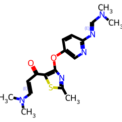 Cc1nc(Oc2ccc(/N=C/N(C)C)nc2)c(C(=O)/C=C/N(C)C)s1